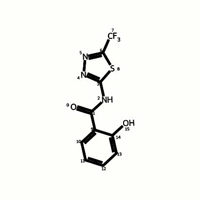 O=C(Nc1nnc(C(F)(F)F)s1)c1ccccc1O